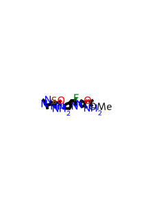 COCC(C)OC1CN(c2nc3c(cc2F)CC(NC(=O)c2sc4nc(C)nc(C)c4c2N)CC3)CC1N